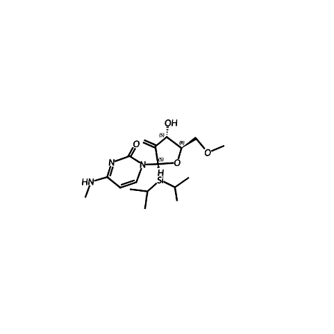 C=C1[C@H](O)[C@@H](COC)O[C@]1(n1ccc(NC)nc1=O)[SiH](C(C)C)C(C)C